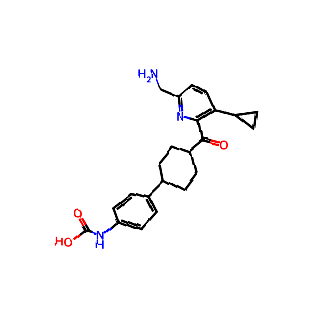 NCc1ccc(C2CC2)c(C(=O)C2CCC(c3ccc(NC(=O)O)cc3)CC2)n1